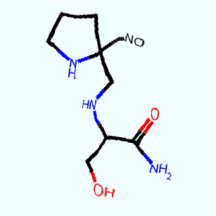 NC(=O)C(CO)NCC1(N=O)CCCN1